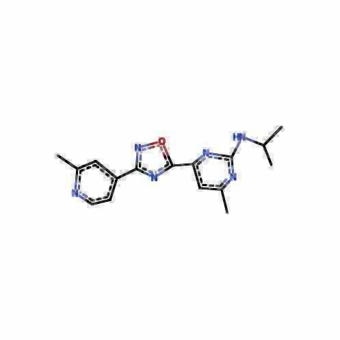 Cc1cc(-c2noc(-c3cc(C)nc(NC(C)C)n3)n2)ccn1